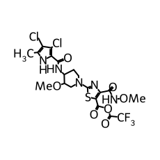 CONC(=O)c1nc(N2CCC(NC(=O)c3[nH]c(C)c(Cl)c3Cl)C(OC)C2)sc1C(=O)OC(=O)C(F)(F)F